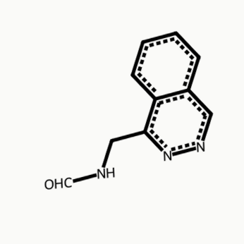 O=CNCc1nncc2ccccc12